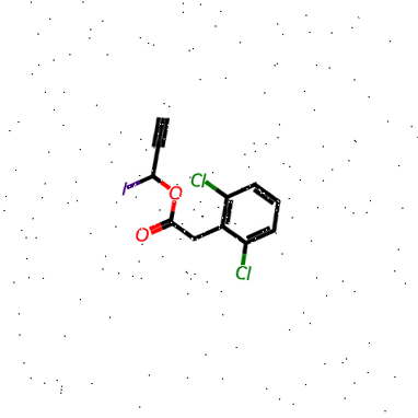 C#CC(I)OC(=O)Cc1c(Cl)cccc1Cl